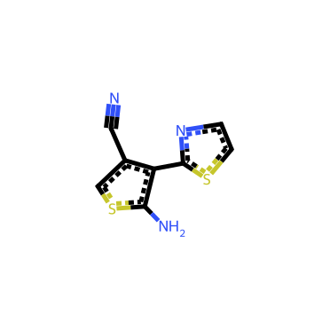 N#Cc1csc(N)c1-c1nccs1